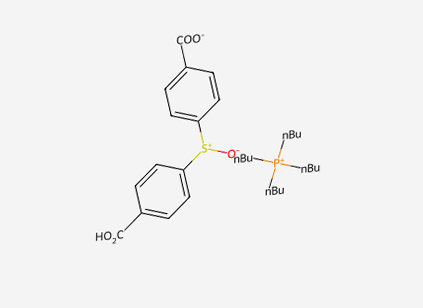 CCCC[P+](CCCC)(CCCC)CCCC.O=C([O-])c1ccc([S+]([O-])c2ccc(C(=O)O)cc2)cc1